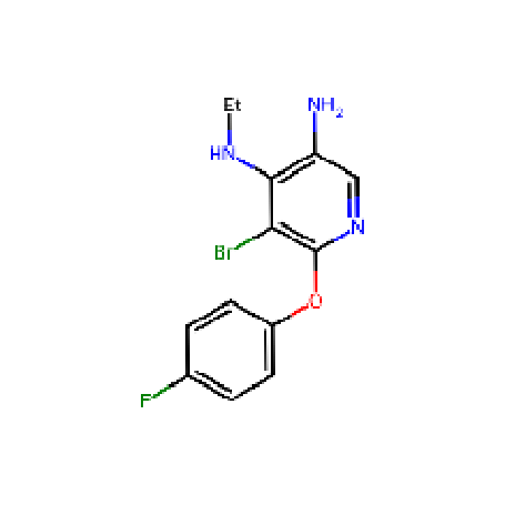 CCNc1c(N)cnc(Oc2ccc(F)cc2)c1Br